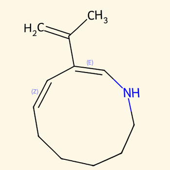 C=C(C)C1=C/NCCCCC/C=C\1